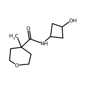 CC1(C(=O)NC2CC(O)C2)CCOCC1